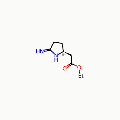 CCOC(=O)C[C@@H]1CCC(=N)N1